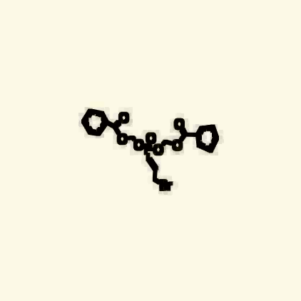 O=C(OCOP(=O)(/C=C/CBr)OCOC(=O)c1ccccc1)c1ccccc1